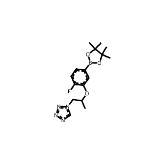 CC(Cn1cnnn1)Oc1cc(B2OC(C)(C)C(C)(C)O2)ccc1F